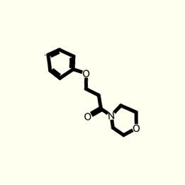 O=C(CCOc1cc[c]cc1)N1CCOCC1